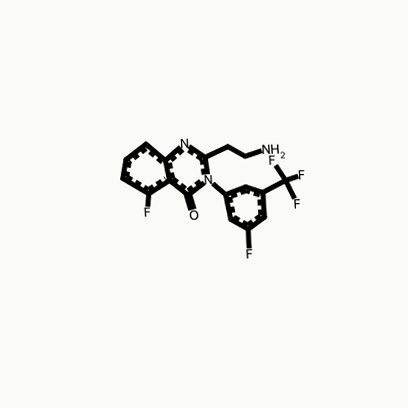 NCCc1nc2cccc(F)c2c(=O)n1-c1cc(F)cc(C(F)(F)F)c1